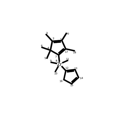 CC1=C(C)C(C)(C)[C]([Zr]([CH3])([CH3])([CH3])[C]2=CC=CC2)=C1C